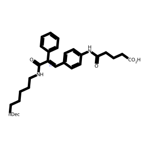 CCCCCCCCCCCCCCCNC(=O)/C(=C/c1ccc(NC(=O)CCCC(=O)O)cc1)c1ccccc1